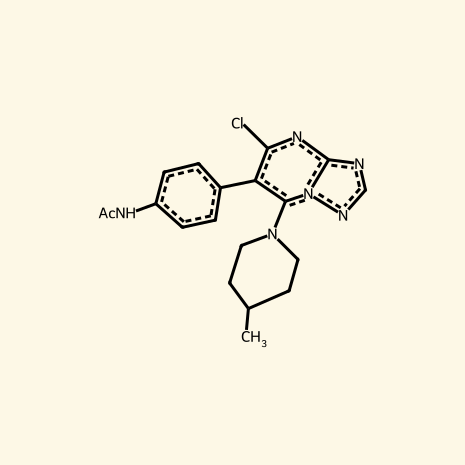 CC(=O)Nc1ccc(-c2c(Cl)nc3ncnn3c2N2CCC(C)CC2)cc1